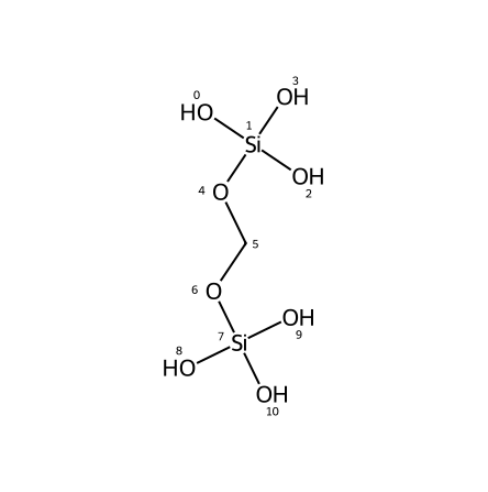 O[Si](O)(O)OCO[Si](O)(O)O